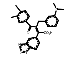 Cc1ccc(C(=O)C(Cc2cccc(N(C)C)c2)=C(C(=O)O)c2ccc3nsnc3c2)cc1C